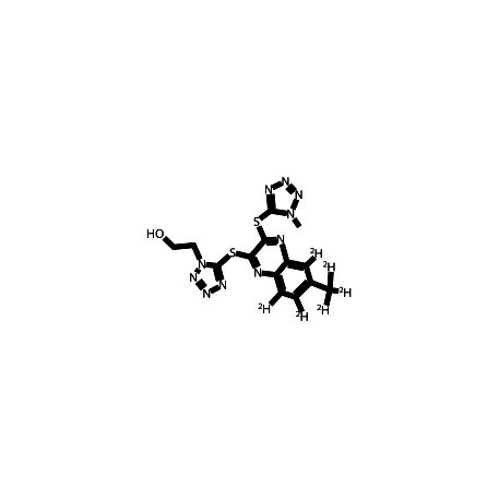 [2H]c1c(C([2H])([2H])[2H])c([2H])c2nc(Sc3nnnn3C)c(Sc3nnnn3CCO)nc2c1[2H]